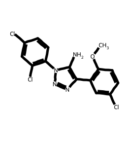 COc1ccc(Cl)cc1-c1nnn(-c2ccc(Cl)cc2Cl)c1N